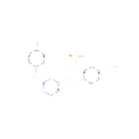 COc1ccc(CNc2nc(Nc3ccc(NC(C)=O)c(C)c3)ncc2C(F)(F)F)c(N(C)S(C)(=O)=O)c1